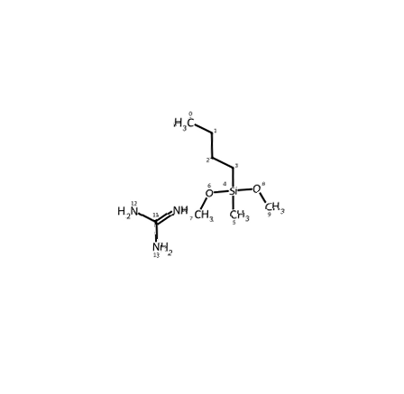 CCCC[Si](C)(OC)OC.N=C(N)N